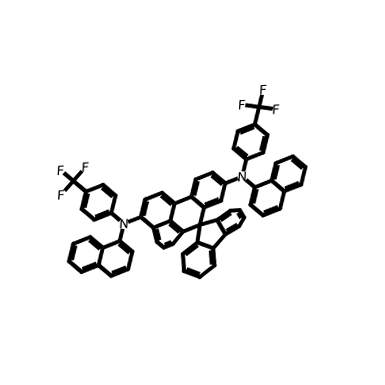 FC(F)(F)c1ccc(N(c2ccc3c(c2)C2(c4ccccc4-c4ccccc42)c2cccc4c(N(c5ccc(C(F)(F)F)cc5)c5cccc6ccccc56)ccc-3c24)c2cccc3ccccc23)cc1